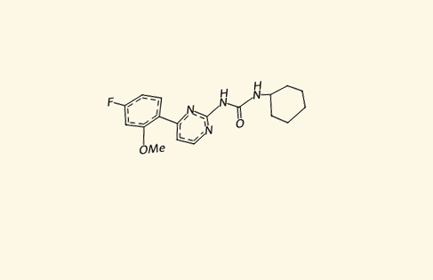 COc1cc(F)ccc1-c1ccnc(NC(=O)NC2CCCCC2)n1